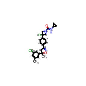 O=C(NC1CC1)N1CC(F)(c2ccc(C3=NOC(c4cc(Cl)cc(C(F)(F)F)c4)(C(F)(F)F)C3)cc2)C1